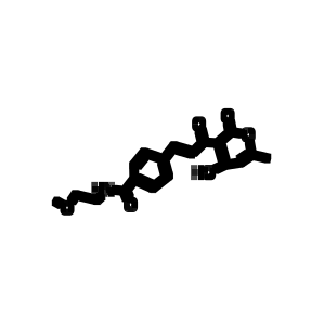 COCCNC(=O)c1ccc(/C=C/C(=O)c2c(O)cc(C)oc2=O)cc1